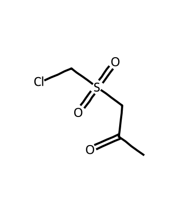 CC(=O)CS(=O)(=O)CCl